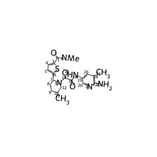 CNC(=O)c1ccc([C@@H]2CC[C@@H](C)CN2C(=O)C(=O)Nc2cnc(N)c(C)c2)s1